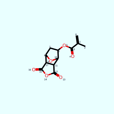 C=C(C)C(=O)OC1CC2OC1C1C(=O)OC(=O)C21